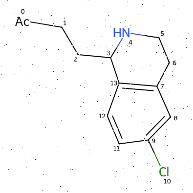 CC(=O)CCC1NCCc2cc(Cl)ccc21